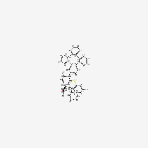 Cc1ccc2c(c1)Sc1c(ccc(C)c1-c1ccc3c(c1)-c1ccccc1-c1ccccc1-c1ccccc1-3)[Si]21c2ccccc2Cc2ccccc21